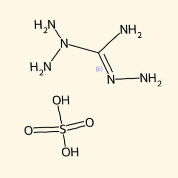 N/N=C(\N)N(N)N.O=S(=O)(O)O